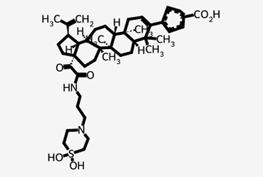 C=C(C)[C@@H]1CC[C@]2(C(=O)C(=O)NCCCN3CCS(O)(O)CC3)CC[C@]3(C)[C@H](CC[C@@H]4[C@@]5(C)CC=C(c6ccc(C(=O)O)cc6)C(C)(C)[C@@H]5CC[C@]43C)[C@@H]12